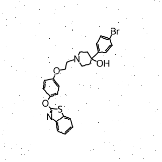 OC1(c2ccc(Br)cc2)CCN(CCOc2ccc(Oc3nc4ccccc4s3)cc2)CC1